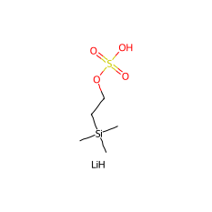 C[Si](C)(C)CCOS(=O)(=O)O.[LiH]